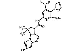 COc1nc(NC(=O)C2CC(C)(C)c3c2cnc2cc(Cl)nn32)cc(C(F)F)c1-c1ccno1